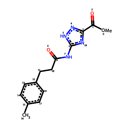 COC(=O)c1n[nH]c(NC(=O)CCc2ccc(C)cc2)n1